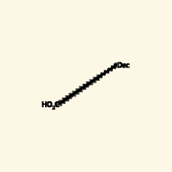 CCCCCCCCCCCCCCCCCCCCCCCCCCCCCCCCCCCCCCCCCCCC(=O)O